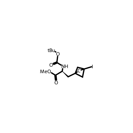 COC(=O)[C@H](CC12CC(I)(C1)C2)NC(=O)OC(C)(C)C